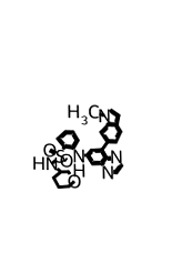 Cn1ccc2ccc(-c3cc(Nc4ccccc4S(=O)(=O)NC4CCCOC4)cc4nccnc34)cc21